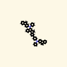 CC1(C)c2ccccc2-c2ccc(N(c3ccccc3)c3ccc(-c4ccc5c(c4)C(C)(C)c4cc(N(c6ccccc6)c6ccc7c(c6)C(C)(C)c6ccccc6-7)c6ccccc6c4-5)cc3)cc21